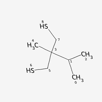 CC(C)C(C)(CS)CS